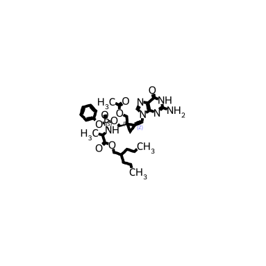 CCCC(CCC)COC(=O)C(C)N[P@](=O)(OC[C@]1(COC(C)=O)C/C1=C/n1cnc2c(=O)[nH]c(N)nc21)Oc1ccccc1